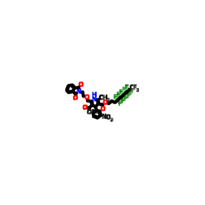 COC(=O)C1=C(COCCN2C(=O)c3ccccc3C2=O)NC(C)=C(C(=O)OCCCC(F)(F)C(F)(F)C(F)(F)C(F)(F)C(F)(F)C(F)(F)F)C1c1cccc([N+](=O)[O-])c1